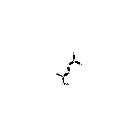 COS(I)=S=S=S(=S)=S